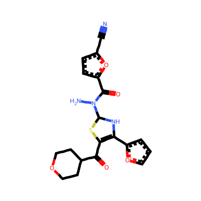 N#Cc1ccc(C(=O)N(N)C2NC(c3ccco3)=C(C(=O)C3CCOCC3)S2)o1